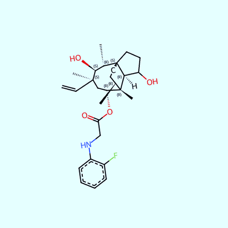 C=C[C@]1(C)C[C@@H](OC(=O)CNc2ccccc2F)[C@]2(C)[C@H](C)CC[C@]3(CCC(O)[C@H]32)[C@@H](C)[C@@H]1O